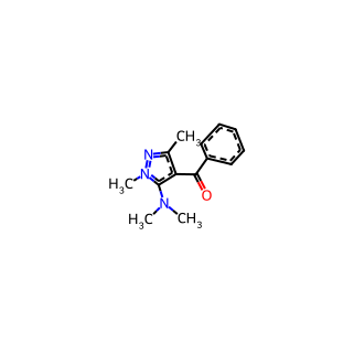 Cc1nn(C)c(N(C)C)c1C(=O)c1ccccc1